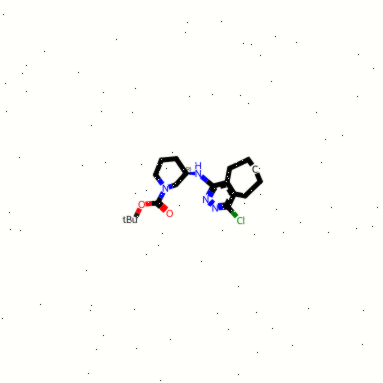 CC(C)(C)OC(=O)N1CCC[C@@H](Nc2nnc(Cl)c3c2CCCCC3)C1